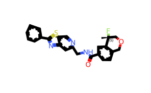 C[C@@]1(F)COCc2ccc(C(=O)NCc3cc4nc(-c5ccccc5)sc4cn3)cc21